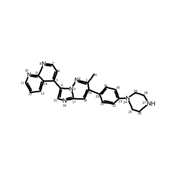 Cc1nn2c(-c3ccnc4ncccc34)cnc2cc1-c1ccc(N2CCNCC2)cc1